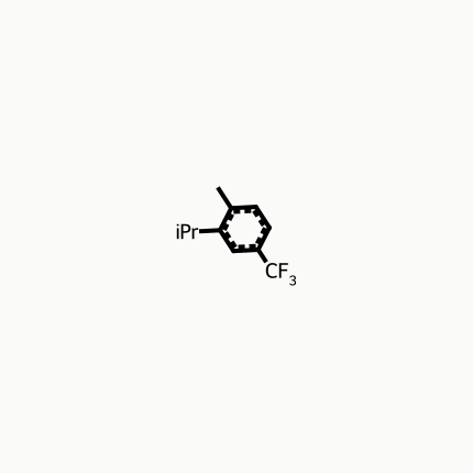 Cc1ccc(C(F)(F)F)cc1C(C)C